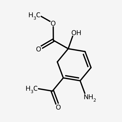 COC(=O)C1(O)C=CC(N)=C(C(C)=O)C1